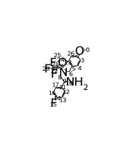 COc1ccc(CN(CC(N)c2ccc(F)cc2)CC(F)(F)F)c(OC)c1